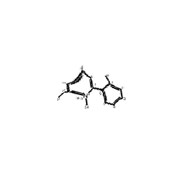 Cc1ccccc1-c1cccc(C)[n+]1C